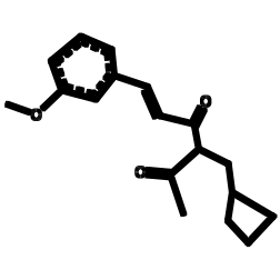 COc1cccc(/C=C/C(=O)C(CC2CCC2)C(C)=O)c1